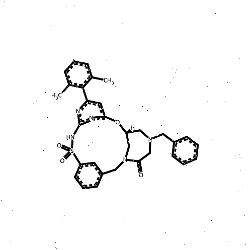 Cc1cccc(C)c1-c1cc2nc(n1)NS(=O)(=O)c1cccc(c1)CN1C[C@@H](CN(Cc3ccccc3)CC1=O)O2